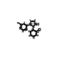 Cc1cc(N2C=CNC2c2ccccc2Cl)ncn1